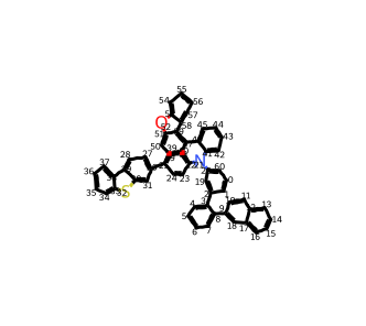 c1cc(-c2ccccc2-c2ccc3ccccc3c2)cc(N(c2ccc(-c3ccc4c(c3)sc3ccccc34)cc2)c2ccccc2-c2cccc3oc4ccccc4c23)c1